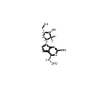 Nc1nc(NC=O)c2ncn([C@@H]3O[C@H](CO)[C@@H](O)C3(F)F)c2n1